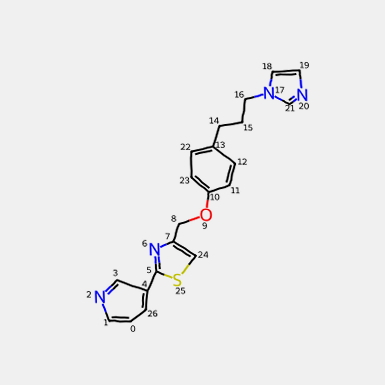 c1cncc(-c2nc(COc3ccc(CCCn4ccnc4)cc3)cs2)c1